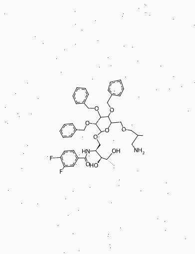 CC(CN)COCC1OC(OC[C@H](NC(=O)c2ccc(F)c(F)c2)[C@H](O)[C@@H](C)O)C(OCc2ccccc2)C(OCc2ccccc2)C1OCc1ccccc1